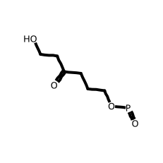 O=POCCCC(=O)CCO